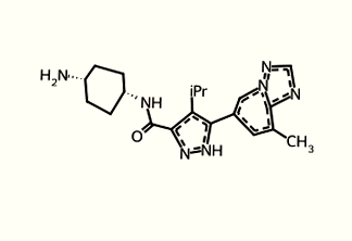 Cc1cc(-c2[nH]nc(C(=O)N[C@H]3CC[C@@H](N)CC3)c2C(C)C)cn2ncnc12